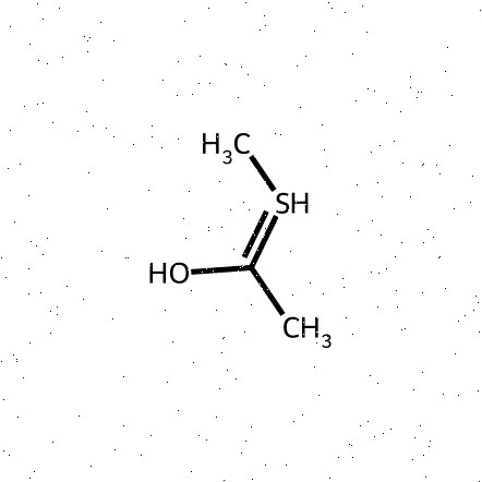 C[SH]=C(C)O